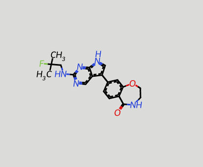 CC(C)(F)CNc1ncc2c(-c3ccc4c(c3)OCCNC4=O)c[nH]c2n1